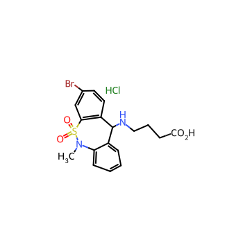 CN1c2ccccc2C(NCCCC(=O)O)c2ccc(Br)cc2S1(=O)=O.Cl